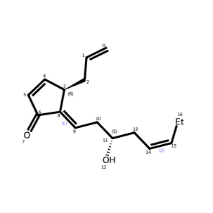 C=CC[C@@H]1C=CC(=O)/C1=C/C[C@@H](O)C/C=C\CC